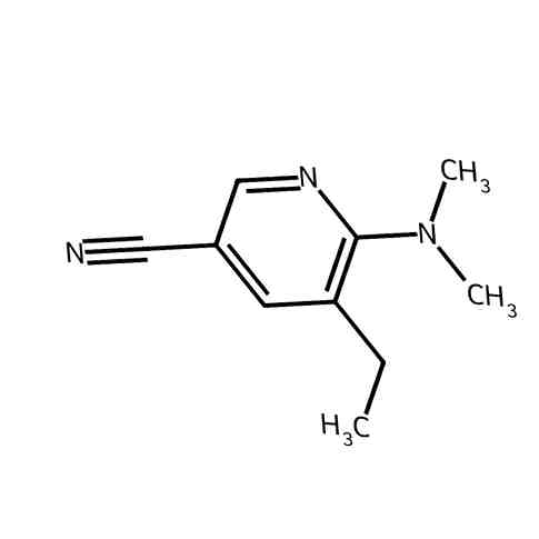 CCc1cc(C#N)cnc1N(C)C